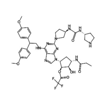 CCC(=O)N[C@H]1C[C@@H](n2cnc3c(NCC(c4ccc(OC)cc4)c4ccc(OC)cc4)nc(N4CC[C@@H](NC(=O)N[C@@H]5CCNC5)C4)nc32)[C@H](OC(=O)C(F)(F)F)[C@@H]1O